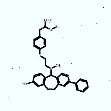 CCCc1ccc2c(c1)CCc1cc(-c3ccccc3)ccc1C2N(C)CCOc1ccc(CC(OCC)C(=O)O)cc1